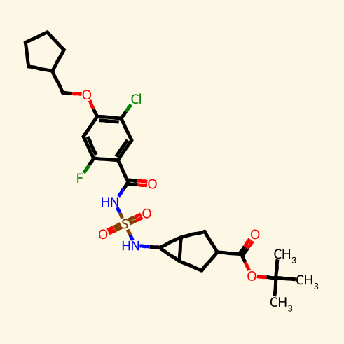 CC(C)(C)OC(=O)C1CC2C(C1)C2NS(=O)(=O)NC(=O)c1cc(Cl)c(OCC2CCCC2)cc1F